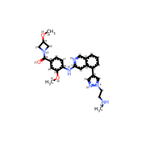 CNCCn1cc(-c2cccc3cnc(Nc4ccc(C(=O)N5CC(OC)C5)cc4OC)cc23)cn1